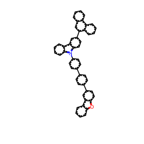 c1ccc2c(c1)cc(-c1ccc3c(c1)c1ccccc1n3-c1ccc(-c3ccc(-c4ccc5oc6ccccc6c5c4)cc3)cc1)c1ccccc12